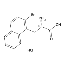 Cl.N[C@@H](Cc1c(Br)ccc2ccccc12)C(=O)O